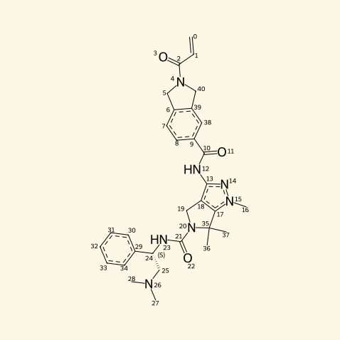 C=CC(=O)N1Cc2ccc(C(=O)Nc3nn(C)c4c3CN(C(=O)N[C@H](CN(C)C)c3ccccc3)C4(C)C)cc2C1